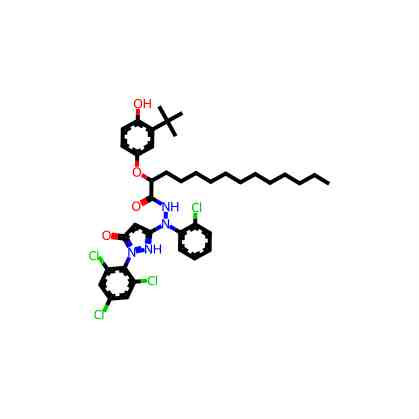 CCCCCCCCCCCCC(Oc1ccc(O)c(C(C)(C)C)c1)C(=O)NN(c1cc(=O)n(-c2c(Cl)cc(Cl)cc2Cl)[nH]1)c1ccccc1Cl